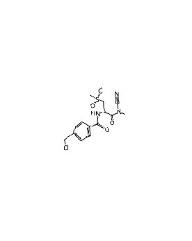 CN(C#N)C(=O)C(CS(C)(=O)=O)NC(=O)c1ccc(CCl)cc1